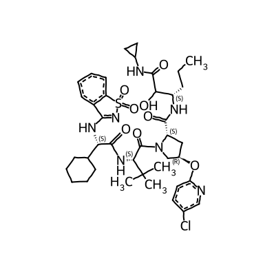 CCC[C@H](NC(=O)[C@@H]1C[C@@H](Oc2ccc(Cl)cn2)CN1C(=O)[C@@H](NC(=O)[C@@H](NC1=NS(=O)(=O)c2ccccc21)C1CCCCC1)C(C)(C)C)C(O)C(=O)NC1CC1